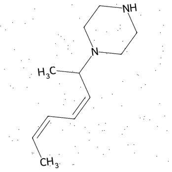 C/C=C\C=C/C(C)N1CCNCC1